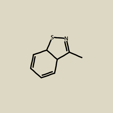 CC1=NSC2C=CC=CC12